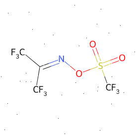 O=S(=O)(ON=C(C(F)(F)F)C(F)(F)F)C(F)(F)F